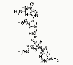 Nc1nc2c(nnn2[C@@H]2OC(OPCC[C@H]3[C@H](F)[C@H](n4ccc5c(N)ncnc54)O[C@@H]3COP)C[C@H]2OO)c(=O)[nH]1